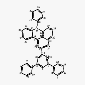 c1ccc(-c2cc(-c3ccccc3)nc(-c3nc4c5c(cccc5n3)N(c3ccccc3)c3ccccc3-4)c2)cc1